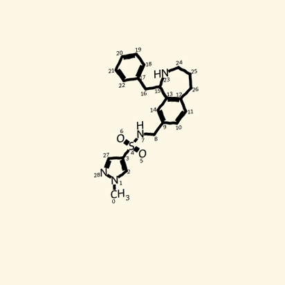 Cn1cc(S(=O)(=O)NCc2ccc3c(c2)C(Cc2ccccc2)NCCC3)cn1